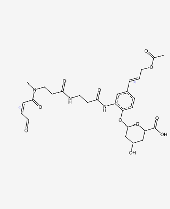 CC(=O)OC/C=C/c1ccc(OC2CC(O)CC(C(=O)O)O2)c(NC(=O)CCNC(=O)CCN(C)C(=O)/C=C\C=O)c1